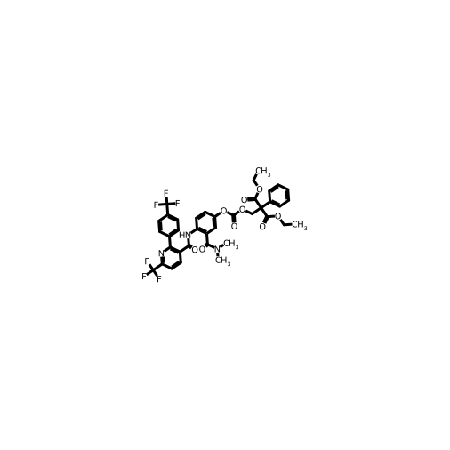 CCOC(=O)C(COC(=O)Oc1ccc(NC(=O)c2ccc(C(F)(F)F)nc2-c2ccc(C(F)(F)F)cc2)c(C(=O)N(C)C)c1)(C(=O)OCC)c1ccccc1